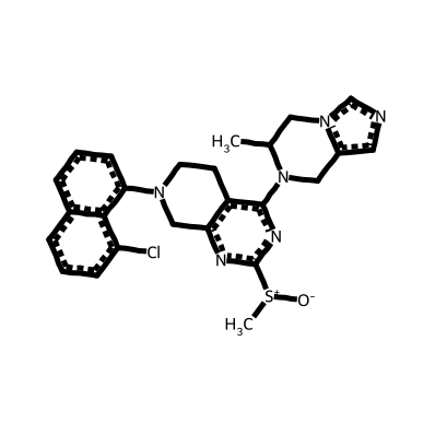 CC1Cn2cncc2CN1c1nc([S+](C)[O-])nc2c1CCN(c1cccc3cccc(Cl)c13)C2